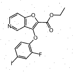 CCOC(=O)c1oc2ccncc2c1Oc1ccc(I)cc1F